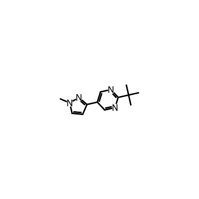 Cn1ccc(-c2cnc(C(C)(C)C)nc2)n1